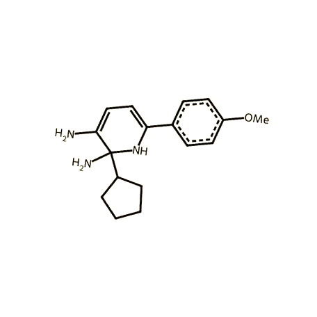 COc1ccc(C2=CC=C(N)C(N)(C3CCCC3)N2)cc1